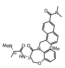 CN[C@@H](C)C(=O)N[C@H]1COc2ccccc2N(Cc2c(OC)ccc3cc(C(=O)N(C)C)ccc23)C1=O